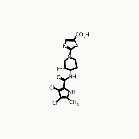 Cc1[nH]c(C(=O)N[C@H]2CCN(c3ncc(C(=O)O)s3)C[C@H]2F)c(Cl)c1Cl